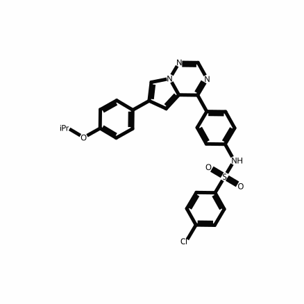 CC(C)Oc1ccc(-c2cc3c(-c4ccc(NS(=O)(=O)c5ccc(Cl)cc5)cc4)ncnn3c2)cc1